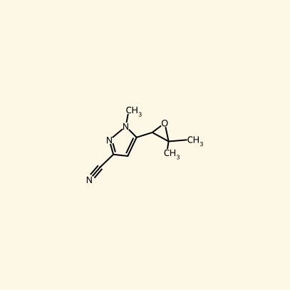 Cn1nc(C#N)cc1C1OC1(C)C